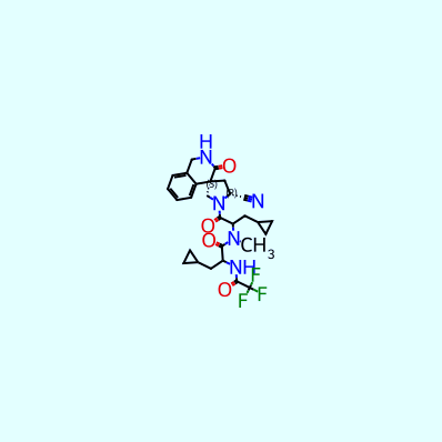 CN(C(=O)C(CC1CC1)NC(=O)C(F)(F)F)C(CC1CC1)C(=O)N1C[C@@]2(C[C@@H]1C#N)C(=O)NCc1ccccc12